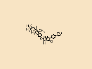 CN(C)CC(=O)NC(C)(C)c1ccc(Oc2nc3nc(-c4ccc(C5=CCOCC5)cc4)c(Cl)cc3[nH]2)cn1